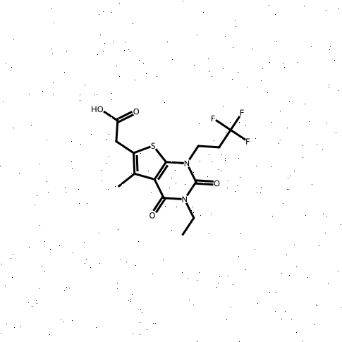 CCn1c(=O)c2c(C)c(CC(=O)O)sc2n(CCC(F)(F)F)c1=O